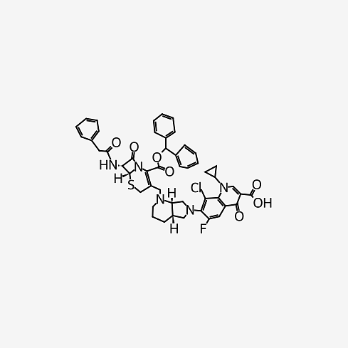 O=C(Cc1ccccc1)N[C@@H]1C(=O)N2C(C(=O)OC(c3ccccc3)c3ccccc3)=C(CN3CCC[C@H]4CN(c5c(F)cc6c(=O)c(C(=O)O)cn(C7CC7)c6c5Cl)C[C@H]43)CS[C@H]12